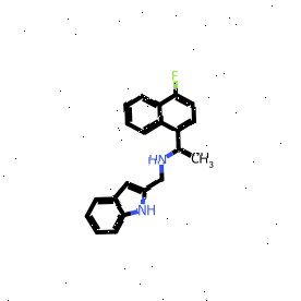 CC(NCc1cc2ccccc2[nH]1)c1ccc(F)c2ccccc12